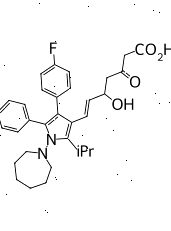 CC(C)c1c(/C=C/C(O)CC(=O)CC(=O)O)c(-c2ccc(F)cc2)c(-c2ccccc2)n1N1CCCCCC1